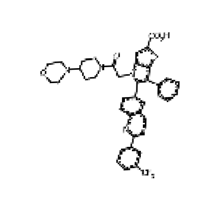 O=C(O)c1cc2c(s1)c(-c1ccccc1)c(-c1ccc3nc(-c4cccc(C(F)(F)F)c4)ccc3c1)n2CC(=O)N1CCC(N2CCOCC2)CC1